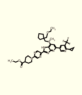 CCOCC1(CN(C)c2cc(-c3cnc(C4CC4)c(C(F)(F)F)c3)nc3nc(-c4cnc(N5CCC(C(=O)OCC)CC5)cn4)[nH]c23)CCCC1